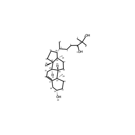 CC(CCC(O)C(C)(C)O)[C@H]1CC[C@H]2[C@@H]3CC=C4C[C@@H](O)CC[C@]4(C)[C@H]3CC[C@]12C